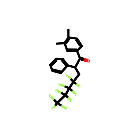 Cc1ccc(C(=O)C(CC(F)(F)C(F)(F)C(F)(F)C(F)(F)F)c2ccccc2)cc1C